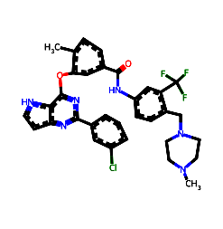 Cc1ccc(C(=O)Nc2ccc(CN3CCN(C)CC3)c(C(F)(F)F)c2)cc1Oc1nc(-c2cccc(Cl)c2)nc2cc[nH]c12